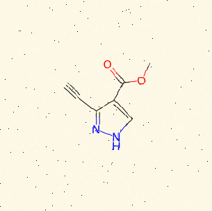 C#Cc1n[nH]cc1C(=O)OC